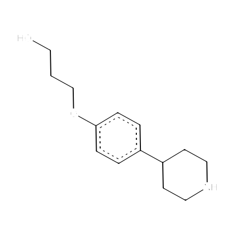 OCCCOc1ccc(C2CCNCC2)cc1